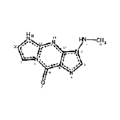 CNn1cnc2c(=O)n3cc[nH]c3nc21